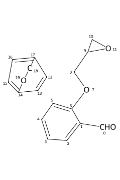 O=Cc1ccccc1OCC1CO1.c1cc2ccc1CO2